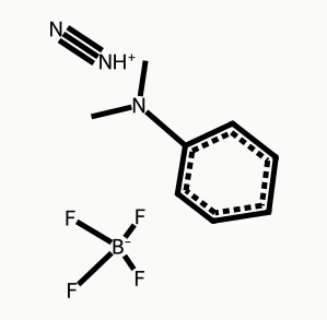 CN(C)c1ccccc1.F[B-](F)(F)F.N#[NH+]